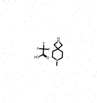 CN1CCC2(CC1)CNC2.O=C(O)C(F)(F)F